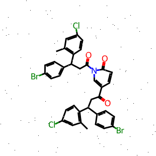 Cc1cc(Cl)ccc1C(CC(=O)c1ccc(=O)n(C(=O)CC(c2ccc(Br)cc2)c2ccc(Cl)cc2C)c1)c1ccc(Br)cc1